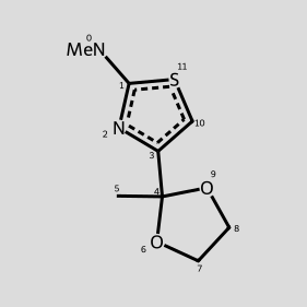 CNc1nc(C2(C)OCCO2)cs1